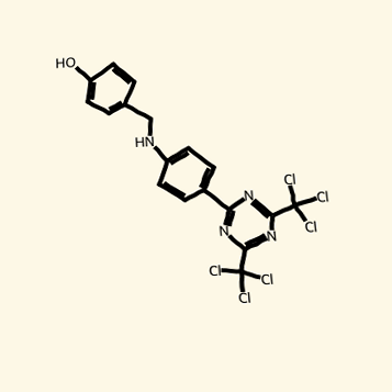 Oc1ccc(CNc2ccc(-c3nc(C(Cl)(Cl)Cl)nc(C(Cl)(Cl)Cl)n3)cc2)cc1